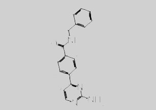 Nc1nccc(-c2ccc(C(=O)NCc3ccccc3)cc2)n1